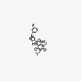 CC(C)Cn1c(=O)c(NC(=O)c2cnn(Cc3cccc(F)c3)c2)c(N)n(C)c1=O